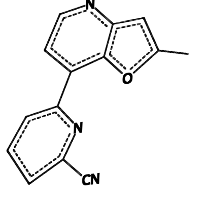 Cc1cc2nccc(-c3cccc(C#N)n3)c2o1